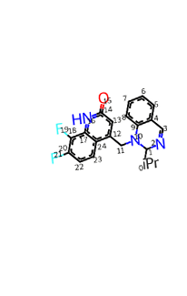 CC(C)C1N=Cc2ccccc2N1Cc1cc(=O)[nH]c2c(F)c(F)ccc12